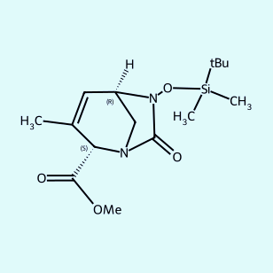 COC(=O)[C@@H]1C(C)=C[C@@H]2CN1C(=O)N2O[Si](C)(C)C(C)(C)C